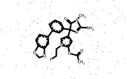 CC(=O)Oc1cc(C2(c3cccc(-c4ccc5c(c4)OCO5)c3)N=C(N)N(C)C2=O)cn1CCF